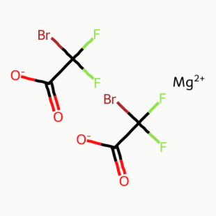 O=C([O-])C(F)(F)Br.O=C([O-])C(F)(F)Br.[Mg+2]